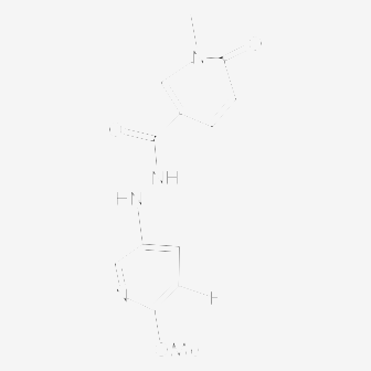 COc1ncc(NNC(=O)c2ccc(=O)n(C)c2)cc1F